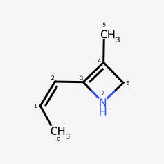 C/C=C\C1=C(C)CN1